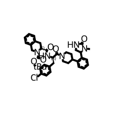 CN1C(=O)NCC1c1ccccc1C1CCN(C(=O)[C@@H](Cc2ccc(Cl)cc2)NC(=O)[C@@H]2Cc3ccccc3CN2C(=O)OC(C)(C)C)CC1